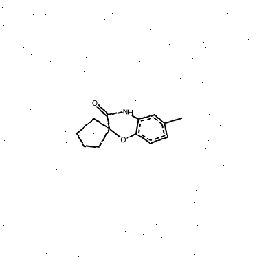 Cc1ccc2c(c1)NC(=O)C1(CCCC1)O2